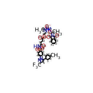 Cc1ccc(-c2cc(C(F)(F)F)nn2-c2ccc(S(=O)(=O)NC(=O)CCC(=O)OCCN(C)/[N+]([O-])=N\OC(C)N3C(=O)c4ccccc4C3=O)cc2)cc1